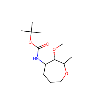 CO[C@H]1C(NC(=O)OC(C)(C)C)CCCOC1C